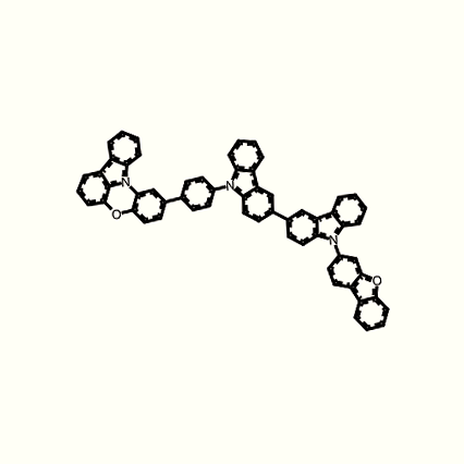 c1ccc2c(c1)oc1cc(-n3c4ccccc4c4cc(-c5ccc6c(c5)c5ccccc5n6-c5ccc(-c6ccc7c(c6)-n6c8ccccc8c8cccc(c86)O7)cc5)ccc43)ccc12